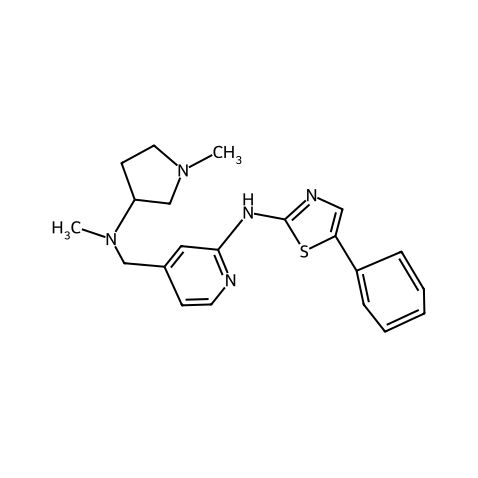 CN1CCC(N(C)Cc2ccnc(Nc3ncc(-c4ccccc4)s3)c2)C1